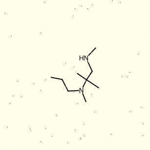 CCCN(C)C(C)(C)CNC